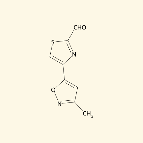 Cc1cc(-c2csc(C=O)n2)on1